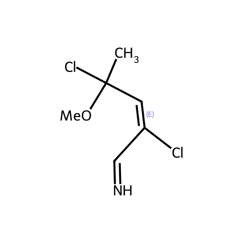 COC(C)(Cl)/C=C(/Cl)C=N